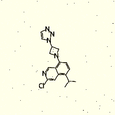 CC(C)c1ccc(N2CC(n3ccnn3)C2)c2cnc(Cl)cc12